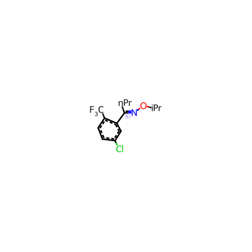 CCC/C(=N\OC(C)C)c1cc(Cl)ccc1C(F)(F)F